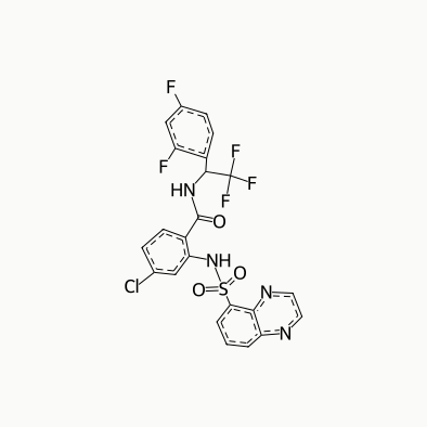 O=C(NC(c1ccc(F)cc1F)C(F)(F)F)c1ccc(Cl)cc1NS(=O)(=O)c1cccc2nccnc12